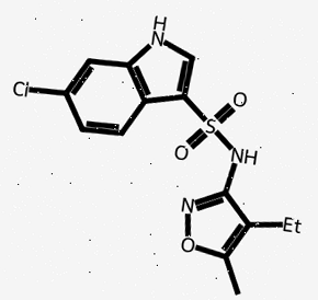 CCc1c(NS(=O)(=O)c2c[nH]c3cc(Cl)ccc23)noc1C